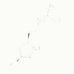 C/C(=N\OC[C@@H]1C[C@H](O)CN1)C(C)C